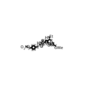 CCN[C@H]1CN(CCCOC)S(=O)(=O)c2sc(S(=O)(=O)NC(=O)OCc3ccc(CO[N+](=O)[O-])cc3)cc21